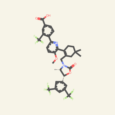 COc1ccc(-c2ccc(C(=O)O)cc2C(F)(F)F)nc1C1=C(CN2C(=O)O[C@H](c3cc(C(F)(F)F)cc(C(F)(F)F)c3)[C@@H]2C)CC(C)(C)CC1